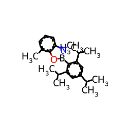 Cc1cccc2c1OB(c1c(C(C)C)cc(C(C)C)cc1C(C)C)N2C